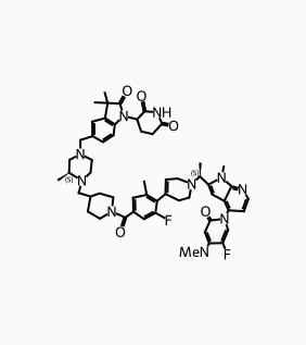 CNc1cc(=O)n(-c2ccnc3c2cc([C@H](C)N2CC=C(c4c(C)cc(C(=O)N5CCC(CN6CCN(Cc7ccc8c(c7)C(C)(C)C(=O)N8C7CCC(=O)NC7=O)C[C@@H]6C)CC5)cc4F)CC2)n3C)cc1F